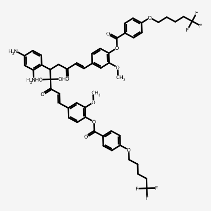 COc1cc(C=CC(=O)CC(c2ccc(N)cc2N)C(O)(O)C(=O)C=Cc2ccc(OC(=O)c3ccc(OCCCCC(F)(F)F)cc3)c(OC)c2)ccc1OC(=O)c1ccc(OCCCCC(F)(F)F)cc1